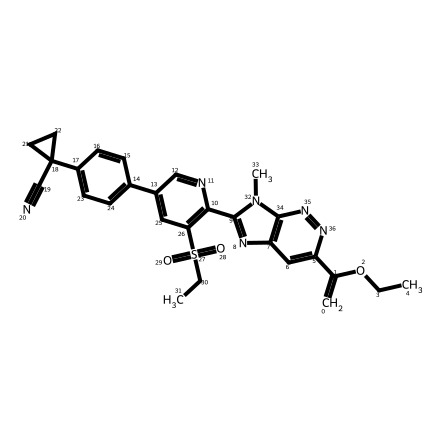 C=C(OCC)c1cc2nc(-c3ncc(-c4ccc(C5(C#N)CC5)cc4)cc3S(=O)(=O)CC)n(C)c2nn1